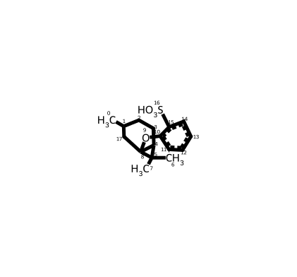 CC1CCC2C(C)(C)C2(Oc2[c]cccc2S(=O)(=O)O)C1